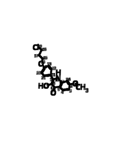 COc1ccc2c(=O)c(O)c(-c3ccc(OCCCCl)cc3)[nH]c2c1